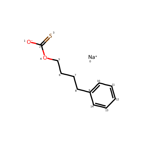 [Na+].[O-]C(=S)OCCCCc1ccccc1